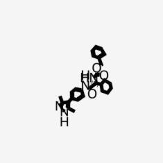 Cc1n[nH]c(C)c1-c1ccc(NC(=O)[C@@H](NC(=O)OCc2ccccc2)C2CCCCC2)cc1